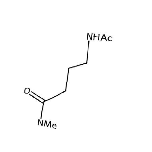 CNC(=O)CCCNC(C)=O